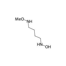 CONCCCCNO